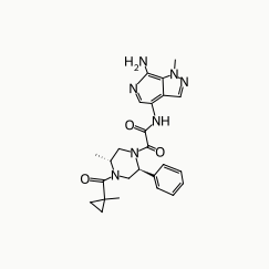 C[C@@H]1CN(C(=O)C(=O)Nc2cnc(N)c3c2cnn3C)[C@@H](c2ccccc2)CN1C(=O)C1(C)CC1